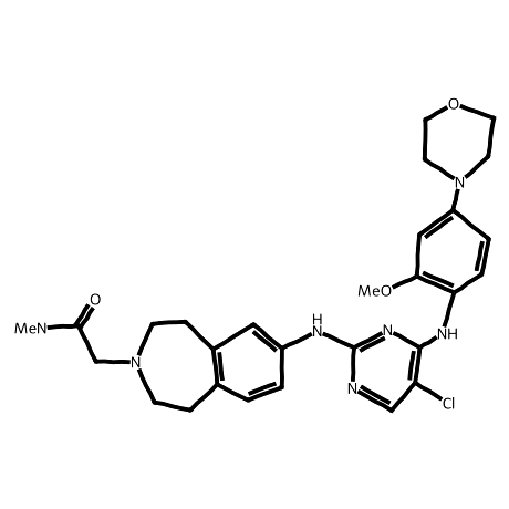 CNC(=O)CN1CCc2ccc(Nc3ncc(Cl)c(Nc4ccc(N5CCOCC5)cc4OC)n3)cc2CC1